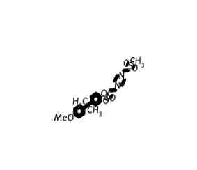 COc1ccc(C(C)(C)c2ccc(OS(=O)(=O)CCN3CCN(CCS(C)(=O)=O)CC3)cc2)cc1